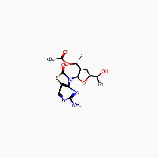 CC[C@H](O)[C@@H]1C[C@@H]([C@@H](C)OC(=O)C(C)(C)C)[C@H](n2c(=O)sc3cnc(N)nc32)O1